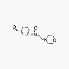 O=Cc1ccc(C(=O)NCCN2CCOCC2)cc1